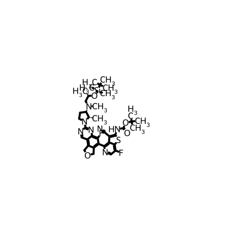 C[C@H](CN(C)[C@H]1CCN(c2ncc3c4c(c(-c5ncc(F)c6sc(NC(=O)OC(C)(C)C)c(C#N)c56)c(F)c3n2)COC4)[C@H]1C)O[Si](C)(C)C(C)(C)C